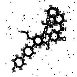 CCCc1cc(Nc2ncc(Cl)c(Nc3ccc4nccnc4c3NS(C)(=O)=O)n2)c(OC)cc1N1CCC(N2CCN(C)CC2)CC1